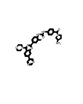 NC1CCN(C(=O)c2ccc(NC(=O)Nc3ccc(-c4nc(N5CCOCC5)c5ccc(-c6cncnc6)cc5n4)cc3F)cc2)C1